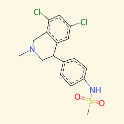 CN1Cc2c(Cl)cc(Cl)cc2C(c2ccc(NS(C)(=O)=O)cc2)C1